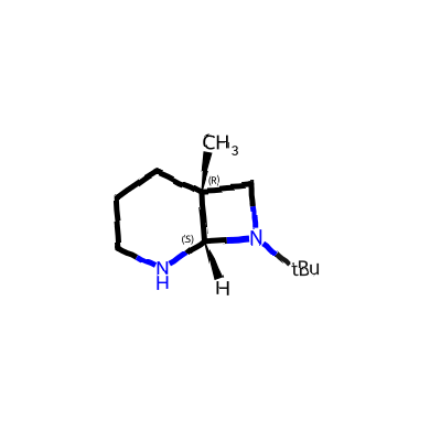 CC(C)(C)N1C[C@@]2(C)CCCN[C@@H]12